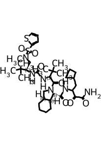 CN(C[C@@H](NC(=O)N[C@H](C(=O)N1C[C@@H]2CCCC[C@@H]2[C@H]1C(=O)NC(CC1CCC1)C(=O)C(N)=O)C(C)(C)C)C(C)(C)C)S(=O)(=O)c1cccs1